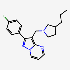 CCCC1CCN(Cc2c(-c3ccc(F)cc3)nn3cccnc23)C1